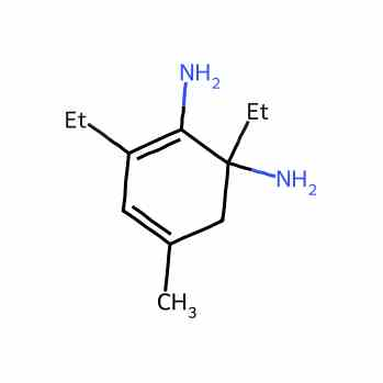 CCC1=C(N)C(N)(CC)CC(C)=C1